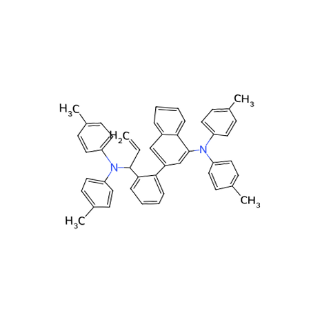 C=CC(c1ccccc1-c1cc(N(c2ccc(C)cc2)c2ccc(C)cc2)c2ccccc2c1)N(c1ccc(C)cc1)c1ccc(C)cc1